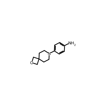 Nc1ccc(N2CCC3(CC2)COC3)cc1